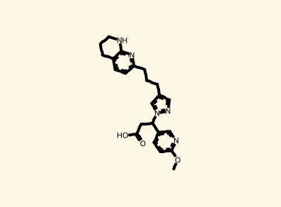 COc1ccc(C(CC(=O)O)n2cc(CCCc3ccc4c(n3)NCCC4)cn2)cn1